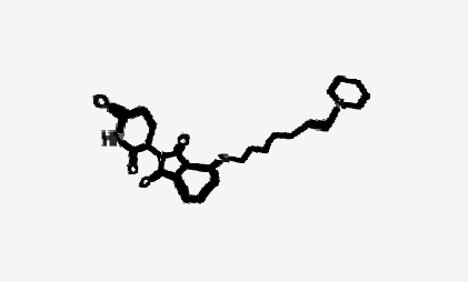 O=C1CCC(N2C(=O)c3cccc(SCCCCCCCN4CCCCC4)c3C2=O)C(=O)N1